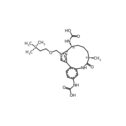 C[C@@H]1CCC[C@H](NC(=O)O)c2nc(cn2COCC[Si](C)(C)C)-c2ccc(NC(=O)O)cc2NC1=O